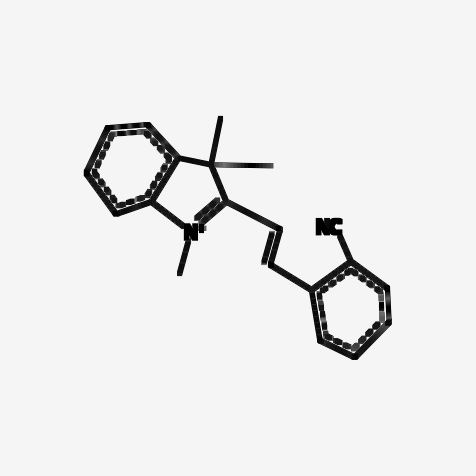 C[N+]1=C(C=Cc2ccccc2C#N)C(C)(C)c2ccccc21